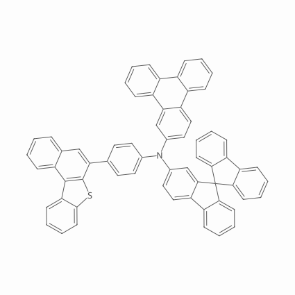 c1ccc2c(c1)-c1ccccc1C21c2ccccc2-c2ccc(N(c3ccc(-c4cc5ccccc5c5c4sc4ccccc45)cc3)c3ccc4c5ccccc5c5ccccc5c4c3)cc21